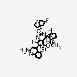 CCc1cccc2nc(N)cc(-c3nc4c5c(nc(OC[C@@]67CCCN6C[C@H](F)C7)nc5c3F)N3C[C@H]5CC[C@H](N5)[C@H]3[C@H](C)O4)c12